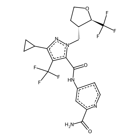 NC(=O)c1cc(NC(=O)c2c(C(F)(F)F)c(C3CC3)nn2C[C@@H]2CCO[C@H]2C(F)(F)F)ccn1